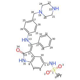 CC(C)S(=O)(=O)Nc1ccc2c(c1)/C(=C(/Nc1ccc(CN3CCNCC3)cc1)c1ccccc1)C(=O)N2